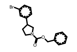 O=C(OCc1ccccc1)N1CCC(c2cccc(Br)c2)C1